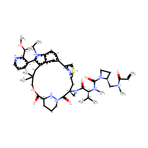 C=CC(=O)N(C)C[C@@H]1CCN1C(=O)N(C)[C@H](C(=O)N1C[C@@]12Cc1nc(cs1)-c1ccc3c(c1)c(c(-c1cccnc1[C@H](C)OC)n3CC)CC(C)(C)COC(=O)[C@@H]1CCCN(N1)C2=O)C(C)C